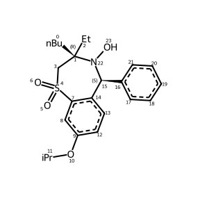 CCCC[C@]1(CC)CS(=O)(=O)c2cc(OC(C)C)ccc2[C@H](c2ccccc2)N1O